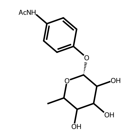 CC(=O)Nc1ccc(O[C@H]2OC(C)C(O)C(O)C2O)cc1